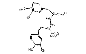 O=C(O)[C@H](Cc1ccc(O)c(O)c1)NN[C@@H](Cc1ccc(O)c(O)c1)C(=O)O